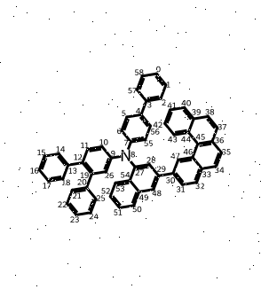 c1ccc(-c2ccc(N(c3ccc(-c4ccccc4)c(-c4ccccc4)c3)c3cc(-c4ccc5ccc6ccc7ccccc7c6c5c4)cc4ccccc34)cc2)cc1